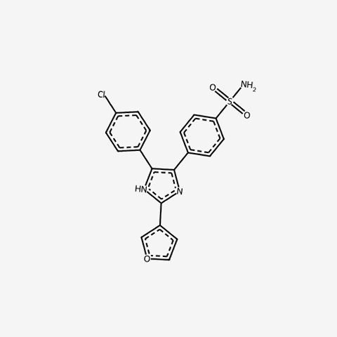 NS(=O)(=O)c1ccc(-c2nc(-c3ccoc3)[nH]c2-c2ccc(Cl)cc2)cc1